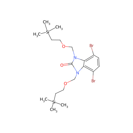 C[Si](C)(C)CCOCn1c(=O)n(COCC[Si](C)(C)C)c2c(Br)ccc(Br)c21